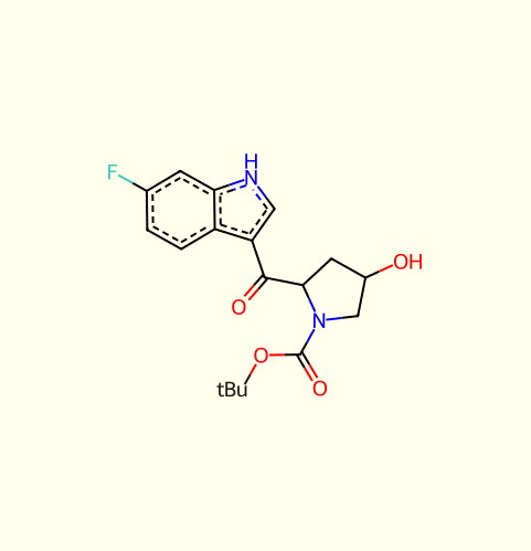 CC(C)(C)OC(=O)N1CC(O)CC1C(=O)c1c[nH]c2cc(F)ccc12